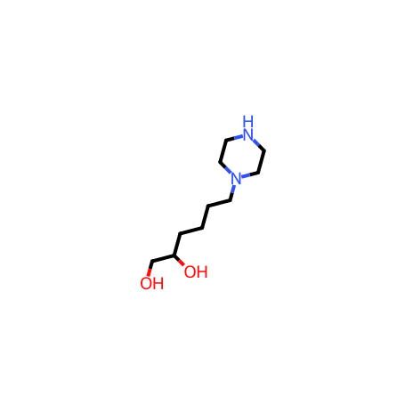 OCC(O)CCCCN1CCNCC1